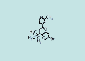 Cc1cc(C(=O)CC(c2ccc(Br)cc2)C(C)(C)C)ccn1